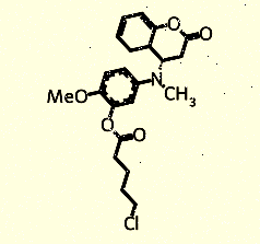 COc1ccc(N(C)[C@H]2CC(=O)OC3=CC=CCC32)cc1OC(=O)CCCCCl